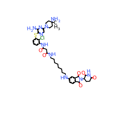 CC1(N)CCN(c2cnc(Sc3cccc(NC(=O)CC(=O)NCCCCCCCCNc4ccc5c(c4)C(=O)N(C4CCC(=O)NC4=O)C5=O)c3Cl)c(N)n2)CC1